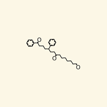 O=CCCCCCCC(=O)CCC(CCCC(=O)c1ccccc1)c1ccccc1